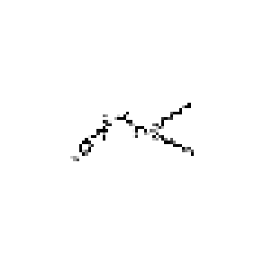 [CH2]C(COC(=O)CCC(OCCCCCCCC)OCCCCCCCC)COC(=O)NCCCN1CCC(O)CC1